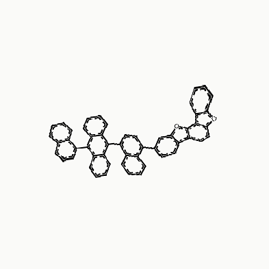 c1ccc2c(-c3c4ccccc4c(-c4ccc(-c5ccc6c(c5)oc5c6ccc6oc7ccccc7c65)c5ccccc45)c4ccccc34)cccc2c1